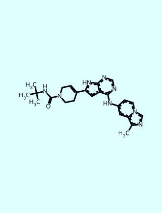 Cc1ncn2ccc(Nc3ncnc4[nH]c(C5=CCN(C(=O)NC(C)(C)C)CC5)cc34)cc12